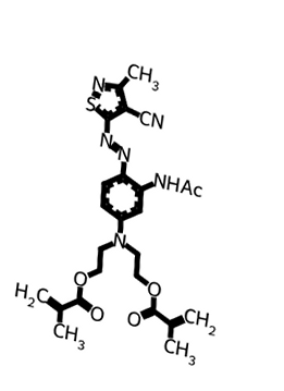 C=C(C)C(=O)OCCN(CCOC(=O)C(=C)C)c1ccc(/N=N/c2snc(C)c2C#N)c(NC(C)=O)c1